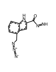 [N-]=[N+]=NCc1cccc2[nH]c(C(=O)N=N)cc12